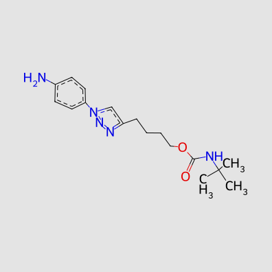 CC(C)(C)NC(=O)OCCCCc1cn(-c2ccc(N)cc2)nn1